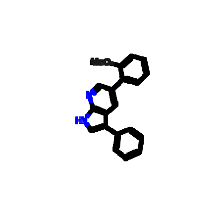 COc1ccccc1-c1cnc2[nH]cc(-c3ccccc3)c2c1